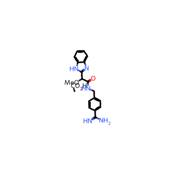 CC(=O)O.COC(C(=O)NCc1ccc(C(=N)N)cc1)c1nc2ccccc2[nH]1